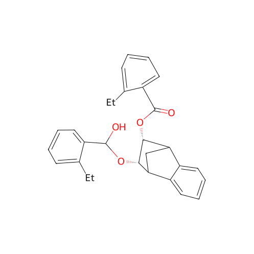 CCc1ccccc1C(=O)O[C@@H]1C2CC(c3ccccc32)[C@@H]1OC(O)c1ccccc1CC